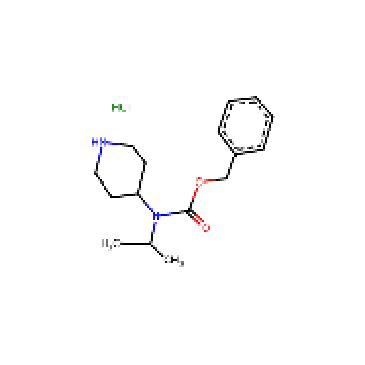 CC(C)N(C(=O)OCc1ccccc1)C1CCNCC1.Cl